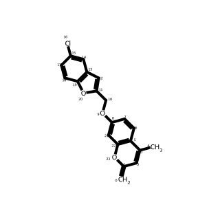 C=C1C=C(C)c2ccc(OCc3cc4cc(Cl)ccc4o3)cc2O1